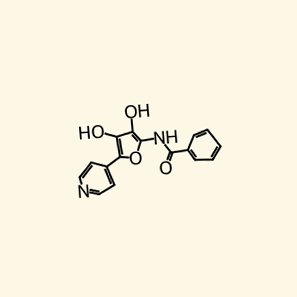 O=C(Nc1oc(-c2ccncc2)c(O)c1O)c1ccccc1